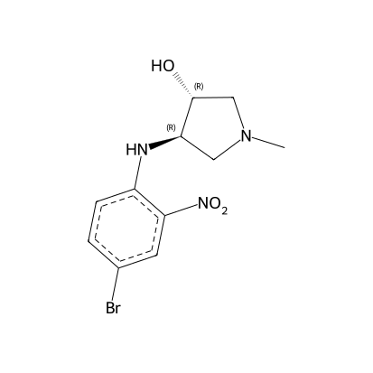 CN1C[C@@H](O)[C@H](Nc2ccc(Br)cc2[N+](=O)[O-])C1